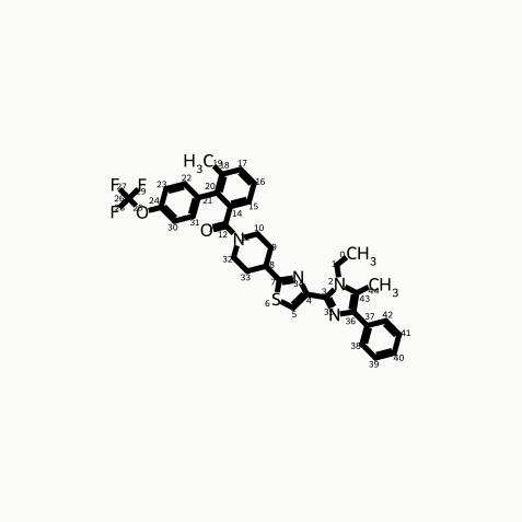 CCn1c(-c2csc(C3CCN(C(=O)c4cccc(C)c4-c4ccc(OC(F)(F)F)cc4)CC3)n2)nc(-c2ccccc2)c1C